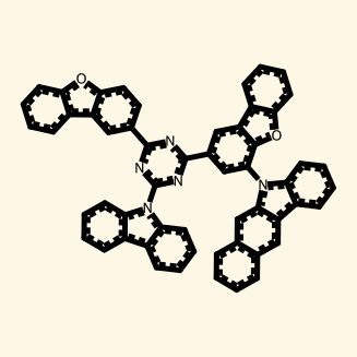 c1ccc2cc3c(cc2c1)c1ccccc1n3-c1cc(-c2nc(-c3ccc4oc5ccccc5c4c3)nc(-n3c4ccccc4c4ccccc43)n2)cc2c1oc1ccccc12